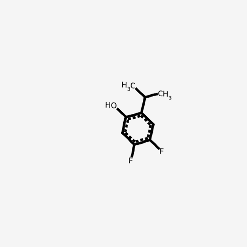 CC(C)c1cc(F)c(F)cc1O